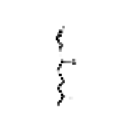 CC(C)CCOC(=O)COC=O